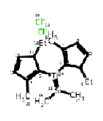 CCC1C=CC(C)=[C]1[Ti+2]([C]1=C(C)C=CC1CC)=[Si](C)C.[Cl-].[Cl-]